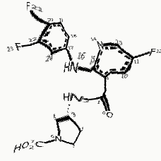 O=C(N[C@@H]1CCN(C(=O)O)C1)c1cc(F)cnc1Nc1ccc(F)c(F)c1